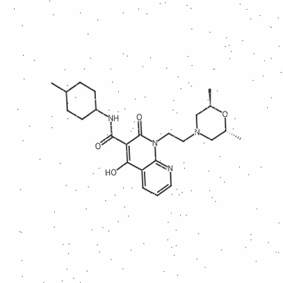 CC1CCC(NC(=O)c2c(O)c3cccnc3n(CCN3C[C@@H](C)O[C@H](C)C3)c2=O)CC1